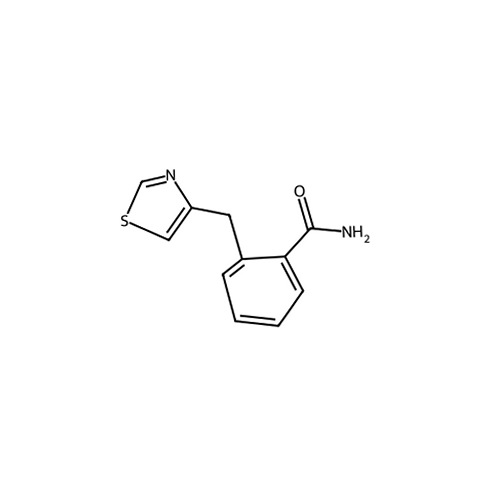 NC(=O)c1ccccc1Cc1cscn1